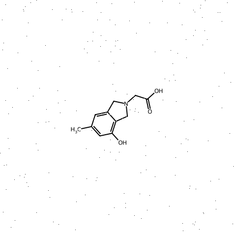 Cc1cc(O)c2c(c1)CN(CC(=O)O)C2